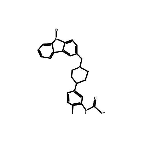 CCn1c2ccccc2c2cc(CN3CCC(c4ccc(C)c(NC(=O)C(C)C)c4)CC3)ccc21